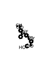 COC(=O)c1ccc2c(c1)nc(-c1ccc(OCc3cc(C(=O)N4CCC(O)CC4)ccc3Br)cc1F)n2C1CCCCC1